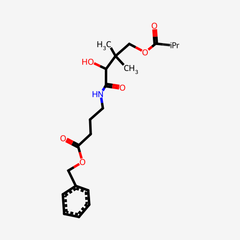 CC(C)C(=O)OCC(C)(C)C(O)C(=O)NCCCC(=O)OCc1ccccc1